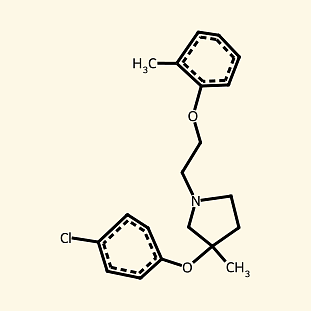 Cc1ccccc1OCCN1CCC(C)(Oc2ccc(Cl)cc2)C1